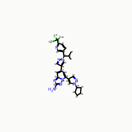 CC(C)C(c1ccc(C(F)(F)F)nc1)n1cc(-c2cc(-c3cnn(C4CCCC4)c3)n3nc(N)nc3c2)cn1